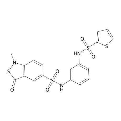 Cn1sc(=O)c2cc(S(=O)(=O)Nc3cccc(NS(=O)(=O)c4cccs4)c3)ccc21